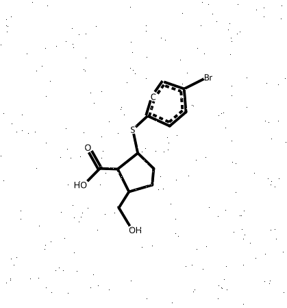 O=C(O)C1C(CO)CCC1Sc1ccc(Br)cc1